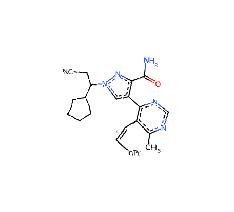 CCC/C=C\c1c(C)ncnc1-c1cn(C(CC#N)C2CCCC2)nc1C(N)=O